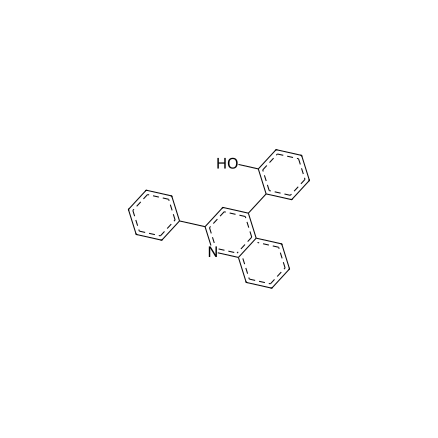 Oc1ccccc1-c1cc(-c2ccccc2)nc2ccccc12